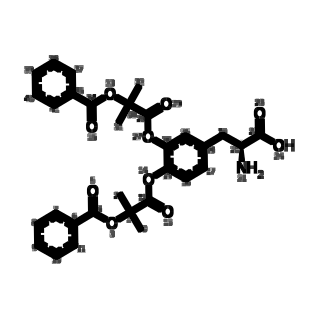 CC(C)(OC(=O)c1ccccc1)C(=O)Oc1ccc(C[C@H](N)C(=O)O)cc1OC(=O)C(C)(C)OC(=O)c1ccccc1